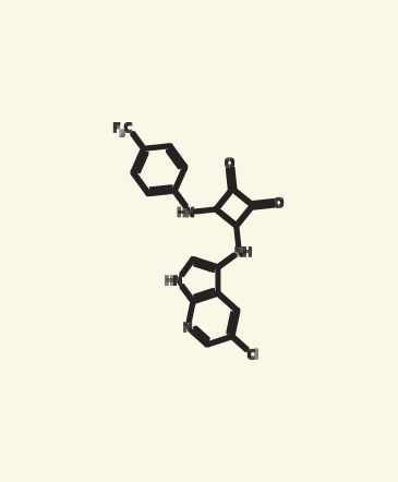 O=C1C(=O)C(Nc2c[nH]c3ncc(Cl)cc23)C1Nc1ccc(C(F)(F)F)cc1